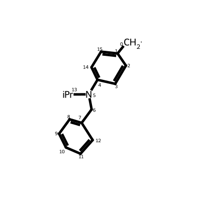 [CH2]c1ccc(N(Cc2ccccc2)C(C)C)cc1